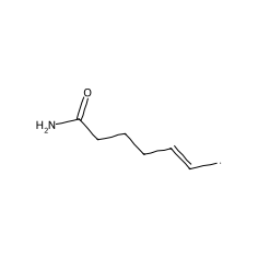 [CH2]/C=C/CCCC(N)=O